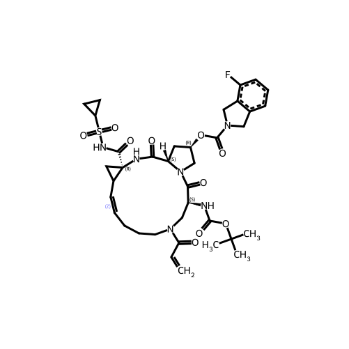 C=CC(=O)N1CCC/C=C\C2C[C@@]2(C(=O)NS(=O)(=O)C2CC2)NC(=O)[C@@H]2C[C@@H](OC(=O)N3Cc4cccc(F)c4C3)CN2C(=O)[C@@H](NC(=O)OC(C)(C)C)C1